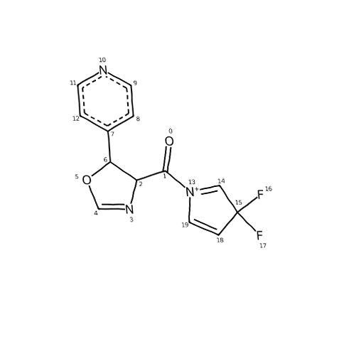 O=C(C1N=COC1c1ccncc1)[N+]1=CC(F)(F)C=C1